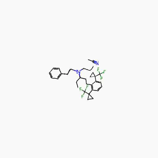 CC#N.CCCN(CCc1ccccc1)C(CC)CCc1c(C2(C(F)(F)F)CC2)cccc1C1(C(F)(F)F)CC1